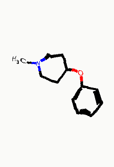 CN1CCC(Oc2ccccc2)CC1